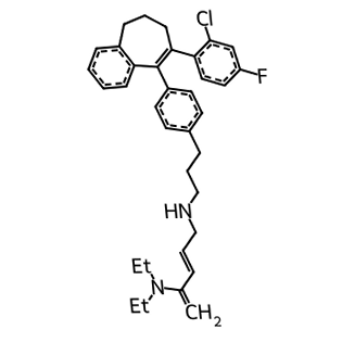 C=C(/C=C/CNCCCc1ccc(C2=C(c3ccc(F)cc3Cl)CCCc3ccccc32)cc1)N(CC)CC